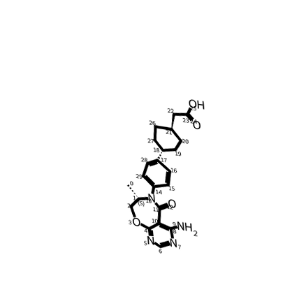 C[C@H]1COc2ncnc(N)c2C(=O)N1c1ccc([C@H]2CC[C@H](CC(=O)O)CC2)cc1